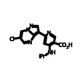 CC(C)Nc1cc(-c2cnn3cc(Cl)cnc23)ncc1C(=O)O